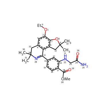 CCOc1cc2c(c3c1OC(C)(C)C3)C(c1ccc(C(=O)OC)c(NCC(N)=O)c1)=NC(C)(C)C2